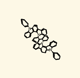 C1=c2c(n(-c3ccccc3-c3ccccc3-n3c4ccccc4c4ccc5c(c6ccccc6n5-c5ccccc5)c43)c3ccccc23)=C2c3ccccc3N(c3ccccc3)C2C1